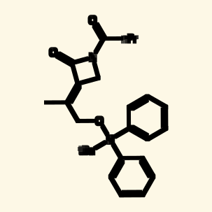 CCCC(=O)N1CC(=C(C)CO[Si](c2ccccc2)(c2ccccc2)C(C)(C)C)C1=O